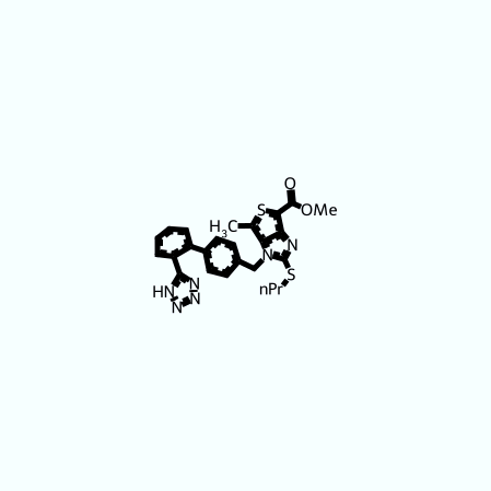 CCCSc1nc2c(C(=O)OC)sc(C)c2n1Cc1ccc(-c2ccccc2-c2nnn[nH]2)cc1